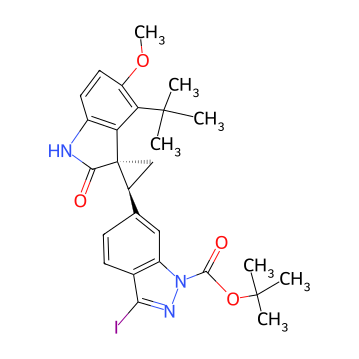 COc1ccc2c(c1C(C)(C)C)[C@]1(C[C@H]1c1ccc3c(I)nn(C(=O)OC(C)(C)C)c3c1)C(=O)N2